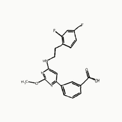 COc1nc(NCCc2ccc(F)cc2F)cc(-c2cccc(C(=O)O)c2)n1